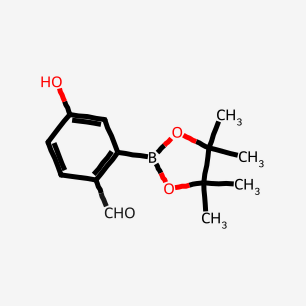 CC1(C)OB(c2cc(O)ccc2C=O)OC1(C)C